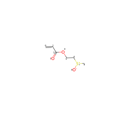 C=CC(=O)OCC[S+](C)[O-]